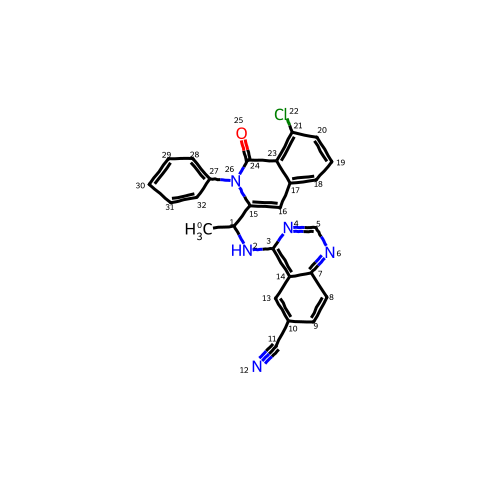 CC(Nc1ncnc2ccc(C#N)cc12)c1cc2cccc(Cl)c2c(=O)n1-c1ccccc1